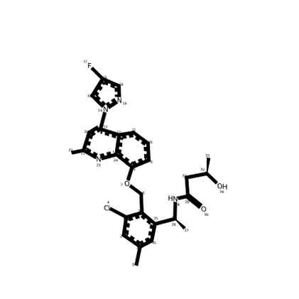 Cc1cc(Cl)c(COc2cccc3c(-n4cc(F)cn4)cc(C)nc23)c([C@H](C)NC(=O)C[C@@H](C)O)c1